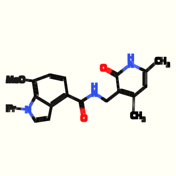 COc1ccc(C(=O)NCc2c(C)cc(C)[nH]c2=O)c2ccn(C(C)C)c12